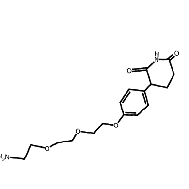 NCCOCCOCCOc1ccc(C2CCC(=O)NC2=O)cc1